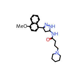 COc1ccc(C2=NNC(NC(=O)CCCN3CCCCC3)C2)c2ccccc12